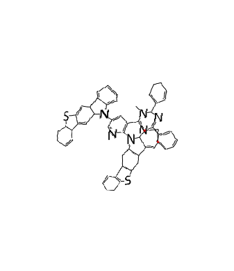 CN1C(c2cc(N3c4ccccc4C4C=C5SC6CCC=CC6C5=CC43)cnc2N2C3CCCC=C3C3CC4SC5=C(C=CCC5)C4CC32)=NC(c2ccccc2)=NC1C1=CCCC=C1